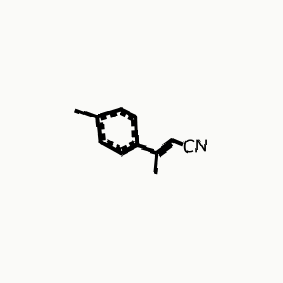 CC(=CC#N)c1ccc(C)cc1